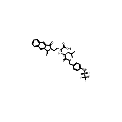 CC(C)C[C@H](N[C@H](CCN1C(=O)c2cc3ccccc3cc2C1=O)C(=O)O)C(=O)NCc1ccc(NS(=O)(=O)C(F)(F)F)cc1